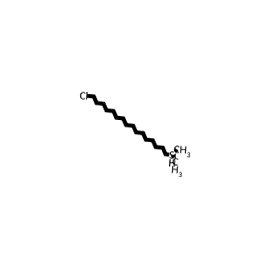 C[SiH](C)CCCCCCCCCCCCCCCCCl